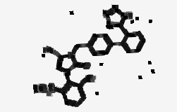 CCCc1cn(-c2c(C(=O)O)cccc2C(C)C)c(=O)n1Cc1ccc(-c2ccccc2-c2nnn[nH]2)cc1